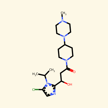 CC(C)n1c(Cl)cnc1C(O)CC(=O)N1CCC(N2CCN(C)CC2)CC1